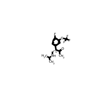 CC(=O)[C@H](CNC(C)C)c1ccc(F)c(OC(F)(F)F)c1